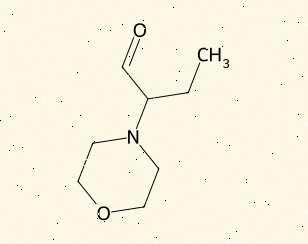 CCC(C=O)N1CCOCC1